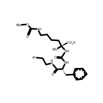 CC(C)CCNC(=O)[C@@H](Cc1ccccc1)NC(=O)N[C@](CCCCNC(=O)OC(C)(C)C)(C(=O)O)C(C)(C)C